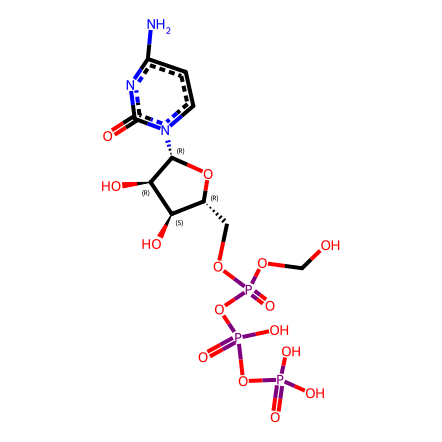 Nc1ccn([C@@H]2O[C@H](COP(=O)(OCO)OP(=O)(O)OP(=O)(O)O)[C@@H](O)[C@H]2O)c(=O)n1